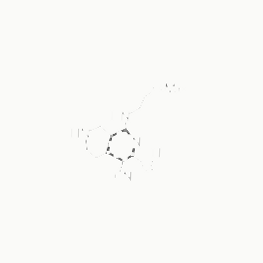 COCCNc1nc(Cl)c(C#N)c2c1CNCC2.Cl